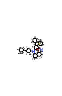 c1ccc(-c2ccc(N(c3ccc4sc5ccccc5c4c3)c3cccc4ccc5nc(-c6ccccc6)oc5c34)cc2)cc1